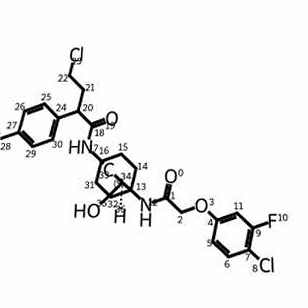 O=C(COc1ccc(Cl)c(F)c1)NC12CCC(NC(=O)C(CCCl)c3ccc(Cl)cc3)(CC1)C[C@@H]2O